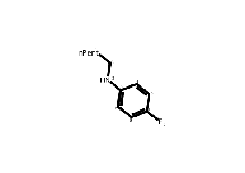 [CH2]CCCCCNc1ccc(F)cc1